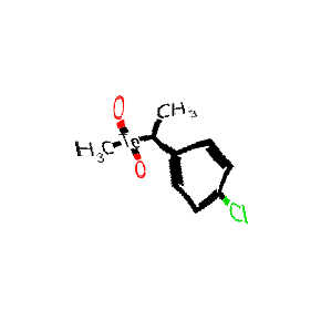 CC(c1ccc(Cl)cc1)[Te](C)(=O)=O